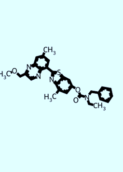 CCN(Cc1ccccc1)C(=O)Oc1cc(C)c2nc(-c3cc(C)cc4nc(COC)cnc34)sc2c1